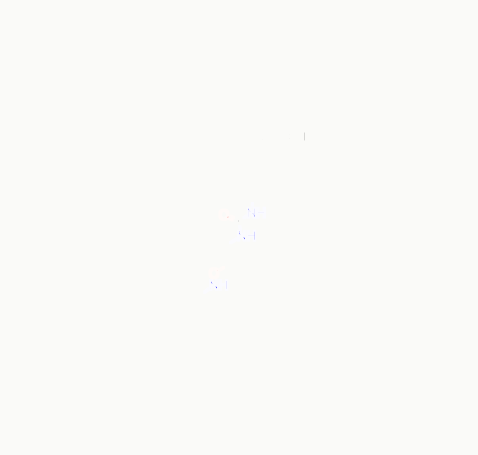 CC(C)CCCCNC(=O)NCCONC(C)C